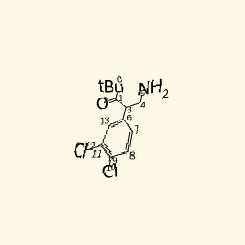 CC(C)(C)C(=O)C(CN)c1ccc(Cl)c(Cl)c1